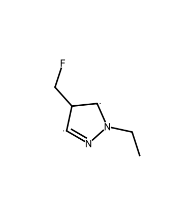 CCN1[CH]C(CF)[C]=N1